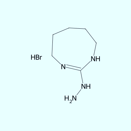 Br.NN/C1=N/CCCCCN1